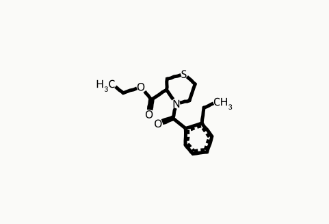 CCOC(=O)C1CSCCN1C(=O)c1ccccc1CC